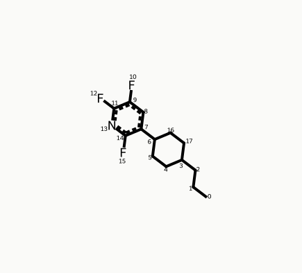 CCCC1CCC(c2cc(F)c(F)nc2F)CC1